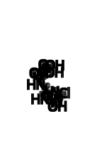 O=P(O)(O)OCC(CO)NCc1c[nH]c2c(O)nc(Cl)nc12